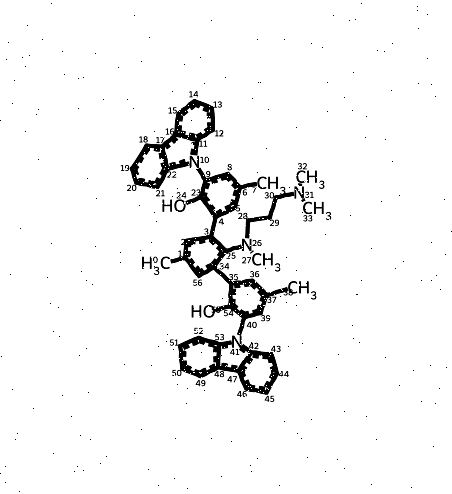 Cc1cc(-c2cc(C)cc(-n3c4ccccc4c4ccccc43)c2O)c(N(C)CCCN(C)C)c(-c2cc(C)cc(-n3c4ccccc4c4ccccc43)c2O)c1